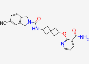 N#Cc1ccc2c(c1)CN(C(=O)NC1CC3(C1)CC(Oc1ncccc1C(N)=O)C3)C2